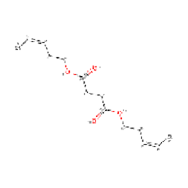 CC/C=C\CCOC(=O)CCC(=O)OCC/C=C\CC